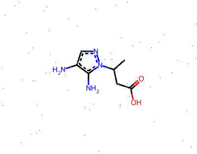 CC(CC(=O)O)n1ncc(N)c1N